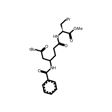 COC(=O)[C@H](CC(C)C)NC(=O)CCC(CC(=O)C(C)(C)C)NC(=O)c1ccccc1